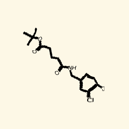 CC(C)(C)OC(=O)CCCC(=O)NCc1ccc(Cl)c(Cl)c1